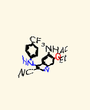 CCOc1cc2ncc(C#N)c(Nc3ccc(C(F)(F)F)cc3)c2cc1NC(C)=O